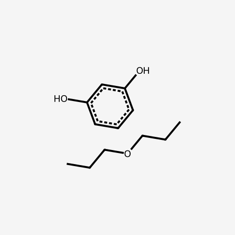 CCCOCCC.Oc1cccc(O)c1